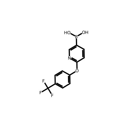 OB(O)c1ccc(Oc2ccc(C(F)(F)F)cc2)nc1